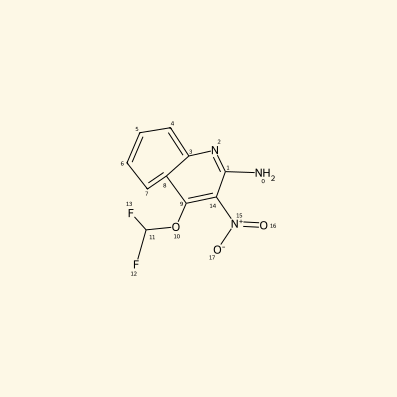 Nc1nc2ccccc2c(OC(F)F)c1[N+](=O)[O-]